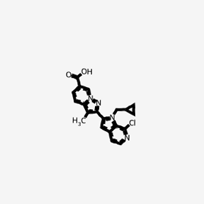 Cc1c(-c2cc3ccnc(Cl)c3n2CC2CC2)nn2cc(C(=O)O)ccc12